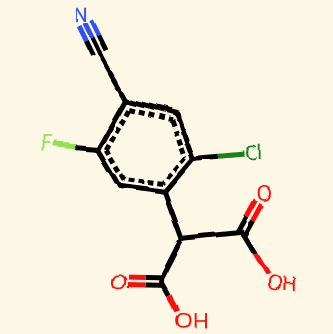 N#Cc1cc(Cl)c(C(C(=O)O)C(=O)O)cc1F